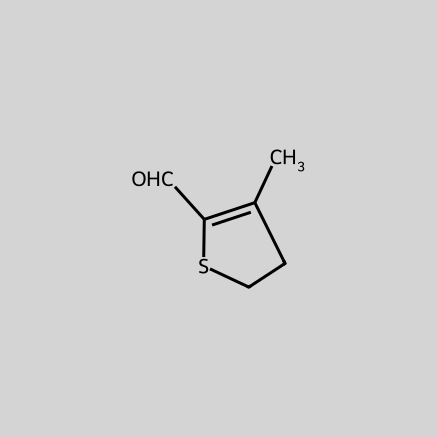 CC1=C(C=O)SCC1